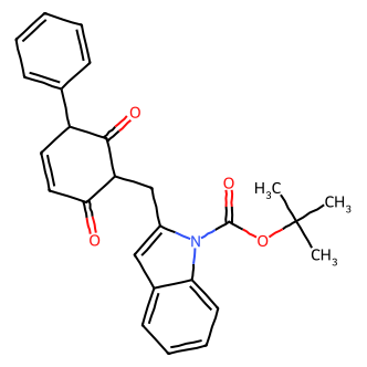 CC(C)(C)OC(=O)n1c(CC2C(=O)C=CC(c3ccccc3)C2=O)cc2ccccc21